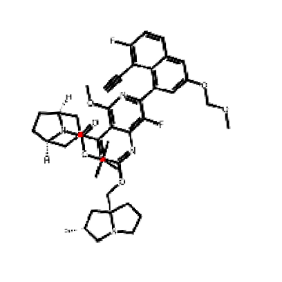 C#Cc1c(F)ccc2cc(OCOC)cc(-c3nc(OC)c4c(N5C[C@H]6CC[C@@H](C5)N6C(=O)OC(C)(C)C)nc(OC[C@@]56CCCN5C[C@H](F)C6)nc4c3F)c12